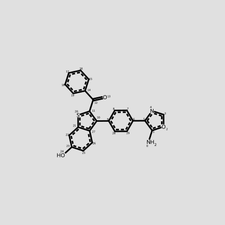 Nc1ocnc1-c1ccc(-c2c(C(=O)c3ccccc3)sc3cc(O)ccc23)cc1